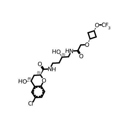 O=C(CO[C@H]1C[C@@H](OC(F)(F)F)C1)NC[C@@H](O)CCNC(=O)[C@@H]1C[C@@H](O)c2cc(Cl)ccc2O1